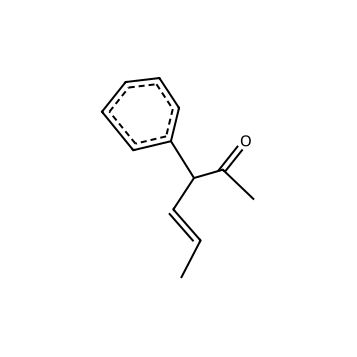 CC=CC(C(C)=O)c1ccccc1